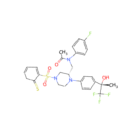 CC(=O)N(C[C@H]1CN(S(=O)(=O)C2=CC=CCC2=S)CCN1c1ccc([C@](C)(O)C(F)(F)F)cc1)c1ccc(F)cc1